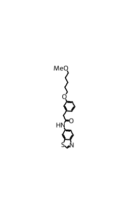 COCCCCCOc1cccc(CC(=O)Nc2ccc3ncsc3c2)c1